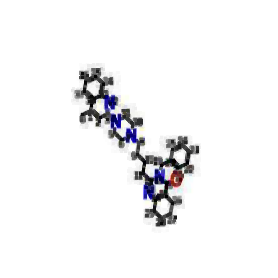 Cc1cc(N2CCN(CCCCc3nc4c(c(=O)n3Cc3ccccc3)CCCC4)CC2)nc2ccccc12